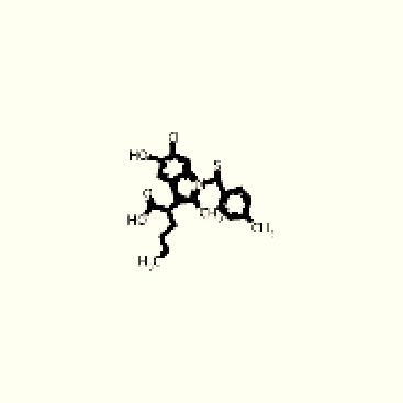 CCCCC(C(=O)O)c1c(C)n(C(=S)c2ccc(C)cc2)c2cc(Cl)c(O)cc12